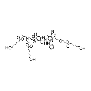 COc1cc(S(=O)(=O)CCN(CC(C)OC(=O)CCCCCO)CC(C)OC(=O)CCCCCO)c(OC)cc1/N=N/c1c(Nc2ccccc2)nc(NCCOCCOC(=O)CCCCCO)c(C#N)c1C